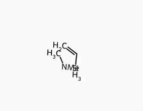 C=C[SiH3].CNC